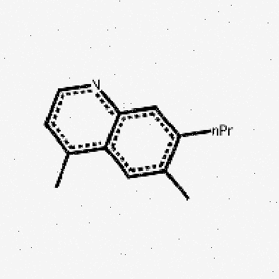 CCCc1cc2nccc(C)c2cc1C